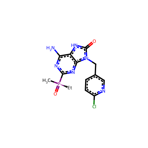 CC[P@](C)(=O)c1nc(N)c2[nH]c(=O)n(Cc3ccc(Cl)nc3)c2n1